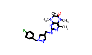 Cc1nc(NCc2cnn(Cc3ccc(F)cc3)c2)nc2c1N(C)C(=O)[C@H](C)N2C